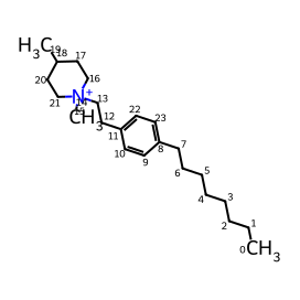 CCCCCCCCc1ccc(CC[N+]2(C)CCC(C)CC2)cc1